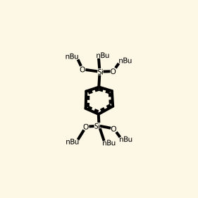 CCCCO[Si](CCCC)(OCCCC)c1ccc([Si](CCCC)(OCCCC)OCCCC)cc1